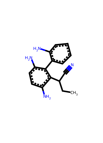 CCC(C#N)c1c(N)ccc(N)c1-c1ccccc1N